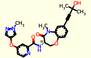 CN1C(=O)[C@@H](NC(=O)c2cc(Oc3cnn(C)c3)ccn2)COc2ccc(C#CC(C)(C)O)cc21